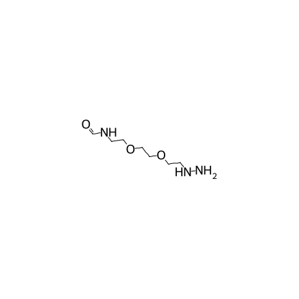 NNCCOCCOCCNC=O